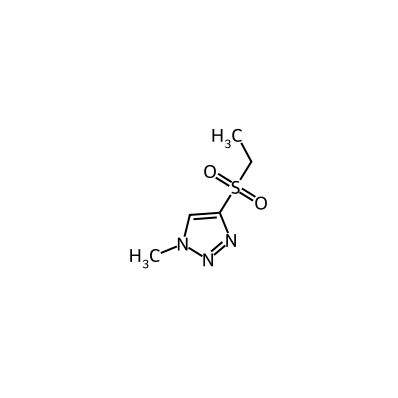 CCS(=O)(=O)c1cn(C)nn1